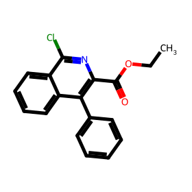 CCOC(=O)c1nc(Cl)c2ccccc2c1-c1ccccc1